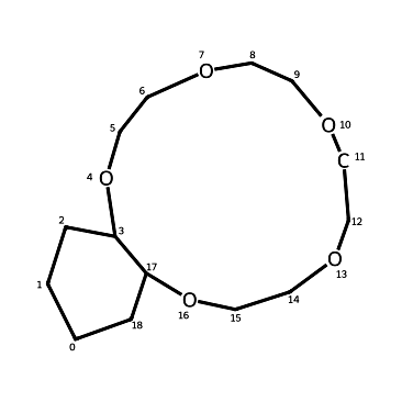 C1CCC2OCCOCCOCCOCCOC2C1